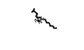 CCCCCCCn1cc(CCC(C)C)nn1